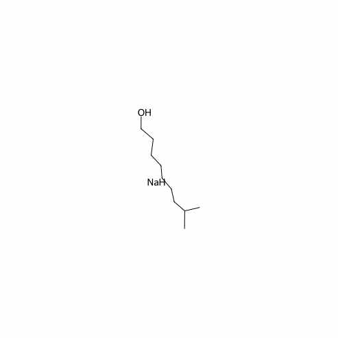 CC(C)CCCCCCCO.[NaH]